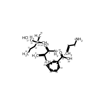 C=C(C)C(N)=O.C=CCN.CCC[N+](C)(C)C.Cl.O=C(O)c1ccccc1